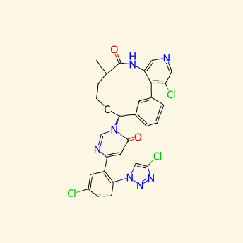 CC1CCC[C@H](n2cnc(-c3cc(Cl)ccc3-n3cc(Cl)nn3)cc2=O)c2cccc(c2)-c2c(Cl)cncc2NC1=O